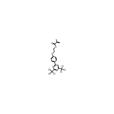 C=C(C)C(=O)OCCOc1ccc(-c2nc(C(Cl)(Cl)Cl)nc(C(Cl)(Cl)Cl)n2)cc1